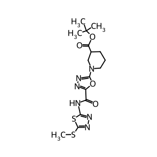 CSc1nnc(NC(=O)c2nnc(N3CCCC(C(=O)OC(C)(C)C)C3)o2)s1